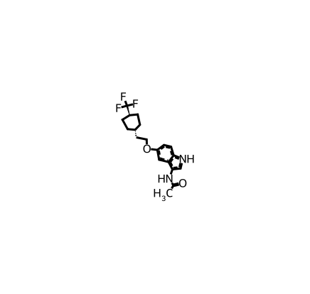 CC(=O)Nc1c[nH]c2ccc(OCC[C@H]3CC[C@H](C(F)(F)F)CC3)cc12